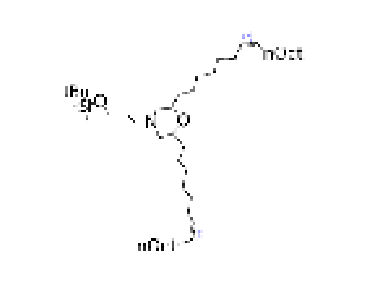 CCCCCCCC/C=C\CCCCCCC1CN(CCCO[Si](C)(C)C(C)(C)C)CC(CCCCCC/C=C\CCCCCCCC)O1